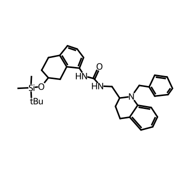 CC(C)(C)[Si](C)(C)OC1CCc2cccc(NC(=O)NCC3CCc4ccccc4N3Cc3ccccc3)c2C1